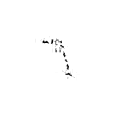 CC(O)[C@H](NC(=O)COCCOCCNC(=O)[C@H](CO)NC(=O)N[C@H](CCC(=O)O)C(N)=O)C(N)=O